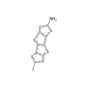 Cc1cc2sc3c4sc(N)cc4sc3c2s1